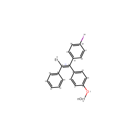 CCCCCCCCOc1ccc(/C(=C(/CC)c2ccccc2)c2ccc(I)cc2)cc1